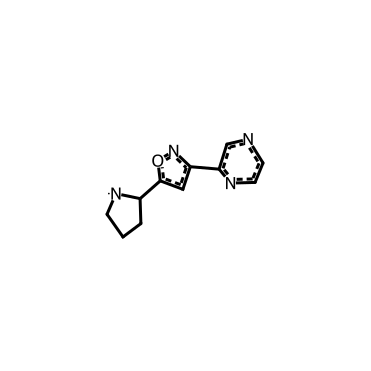 c1cnc(-c2cc(C3CCC[N]3)on2)cn1